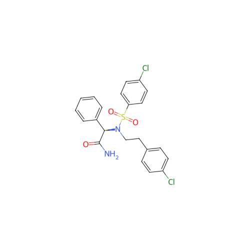 NC(=O)[C@@H](c1ccccc1)N(CCc1ccc(Cl)cc1)S(=O)(=O)c1ccc(Cl)cc1